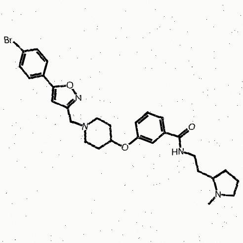 CN1CCCC1CCNC(=O)c1cccc(OC2CCN(Cc3cc(-c4ccc(Br)cc4)on3)CC2)c1